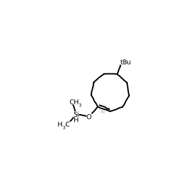 C[SiH](C)O/C1=C/CCCC(C(C)(C)C)CCC1